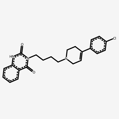 O=c1[nH]c2ccccc2c(=O)n1CCCCN1CC=C(c2ccc(Cl)cc2)CC1